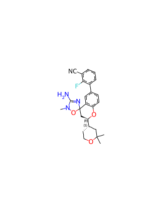 CN1OC2(C[C@H]([C@H]3CCOC(C)(C)C3)Oc3ccc(-c4cccc(C#N)c4F)cc32)N=C1N